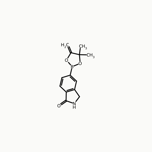 C=C1OB(c2ccc3c(c2)CNC3=O)OC1(C)C